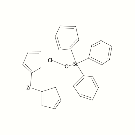 C1=CC[C]([Zr][C]2=CC=CC2)=C1.ClO[Si](c1ccccc1)(c1ccccc1)c1ccccc1